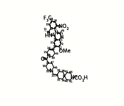 COc1cc2nc(C)nc(N[C@H](C)c3cc([N+](=O)[O-])cc(C(F)(F)F)c3)c2cc1C1=CCN(C(=O)C2CCN(CC3CCC4(CC3)CCN(C(=O)O)CC4)CC2)CC1